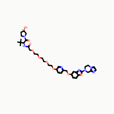 CC(C)(C)[C@H](NC(=O)COCCOCCOCCOc1ccc(COc2ccc3oc(N4CCn5ccnc5C4)nc3c2)nc1)C(=O)N1CC[C@@H](O)C1